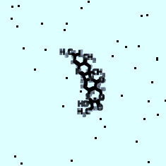 C=C1CC2(C)C(=N/C1=C/C(C)F)c1cc3c(c(=O)n12)COC(=O)[C@](O)(CC)S3